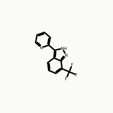 FC(F)(F)c1cccc2c(-c3ccccn3)[nH]nc12